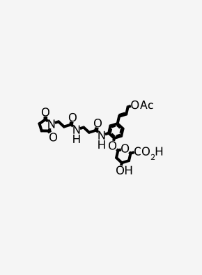 CC(=O)OC/C=C/c1ccc(OC2CC(O)CC(C(=O)O)O2)c(NC(=O)CCNC(=O)CCN2C(=O)CCC2=O)c1